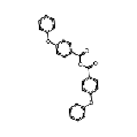 O=C(OC(=O)c1ccc(Oc2ccccc2)cc1)c1ccc(Oc2ccccc2)cc1